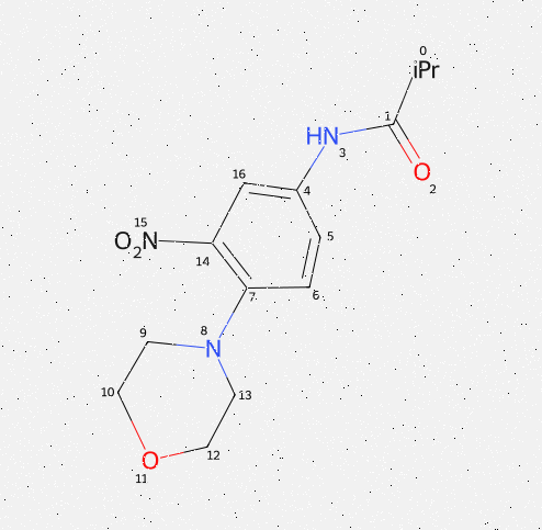 CC(C)C(=O)Nc1ccc(N2CCOCC2)c([N+](=O)[O-])c1